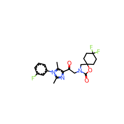 Cc1nc(C(=O)CN2CC3(CCC(F)(F)CC3)OC2=O)c(C)n1-c1cccc(F)c1